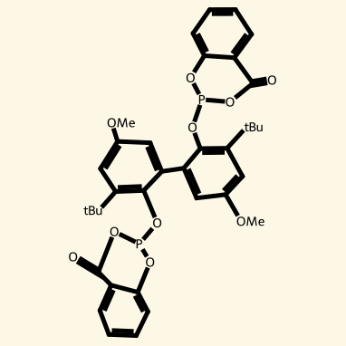 COc1cc(-c2cc(OC)cc(C(C)(C)C)c2OP2OC(=O)c3ccccc3O2)c(OP2OC(=O)c3ccccc3O2)c(C(C)(C)C)c1